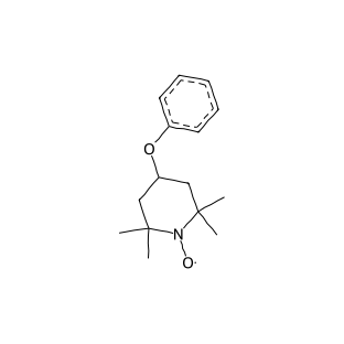 CC1(C)CC(Oc2ccccc2)CC(C)(C)N1[O]